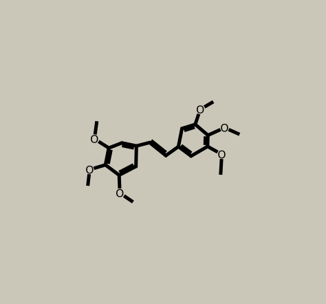 COc1cc(C=Cc2cc(OC)c(OC)c(OC)c2)cc(OC)c1OC